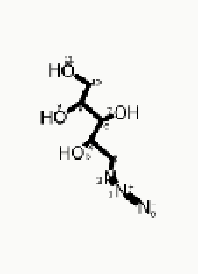 [N-]=[N+]=NCC(O)C(O)C(O)CO